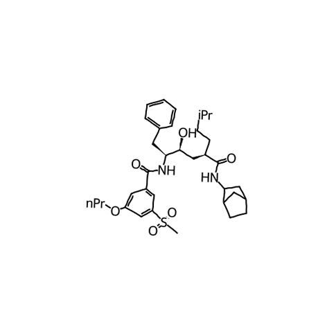 CCCOc1cc(C(=O)N[C@@H](Cc2ccccc2)[C@@H](O)C[C@@H](CCC(C)C)C(=O)NC2CC3CCC2C3)cc(S(C)(=O)=O)c1